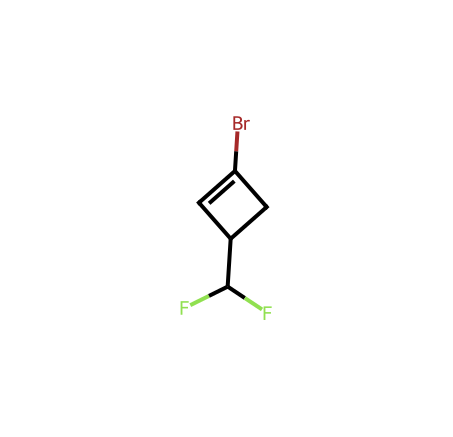 FC(F)C1C=C(Br)C1